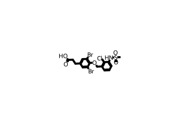 CS(=O)(=O)Nc1cccc(COc2c(Br)cc(CCC(=O)O)cc2Br)c1Cl